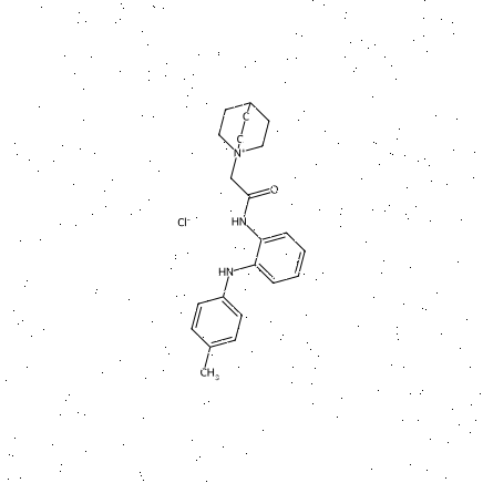 Cc1ccc(Nc2ccccc2NC(=O)C[N+]23CCC(CC2)CC3)cc1.[Cl-]